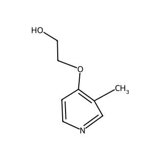 Cc1cnccc1OCCO